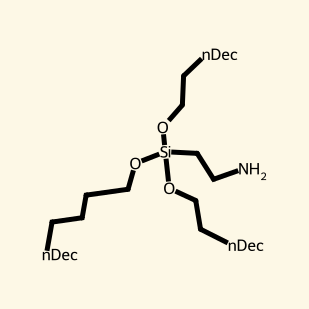 CCCCCCCCCCCCCCO[Si](CCN)(OCCCCCCCCCCCC)OCCCCCCCCCCCC